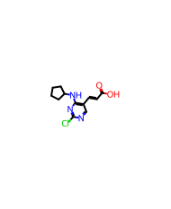 O=C(O)C=Cc1cnc(Cl)nc1NC1CCCC1